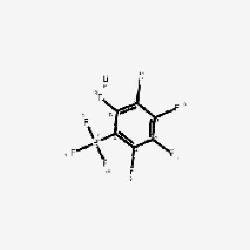 Fc1c(F)c(F)c([B-](F)(F)F)c(F)c1F.[Li+]